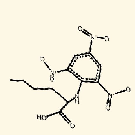 CCCCC(Nc1c([N+](=O)[O-])cc([N+](=O)[O-])cc1[N+](=O)[O-])C(=O)O